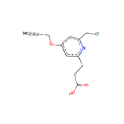 C#CCOc1cc(CCl)nc(CCC(=O)O)c1